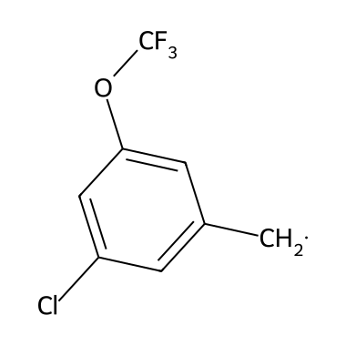 [CH2]c1cc(Cl)cc(OC(F)(F)F)c1